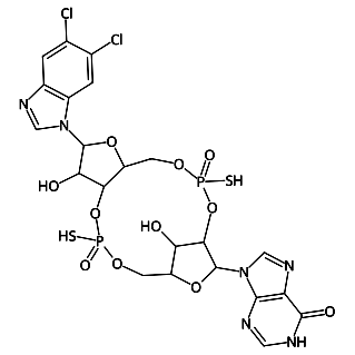 O=c1[nH]cnc2c1ncn2C1OC2COP(=O)(S)OC3C(COP(=O)(S)OC1C2O)OC(n1cnc2cc(Cl)c(Cl)cc21)C3O